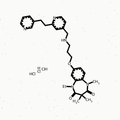 CCN1C(=O)C(C)(C)C(=O)N(C)c2ccc(OCCCNCc3ccnc(CCc4cccnc4)c3)cc21.Cl.Cl.Cl